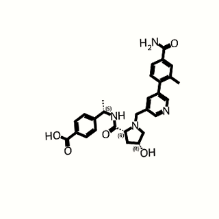 Cc1cc(C(N)=O)ccc1-c1cncc(CN2C[C@H](O)C[C@@H]2C(=O)N[C@@H](C)c2ccc(C(=O)O)cc2)c1